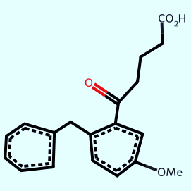 COc1ccc(Cc2ccccc2)c(C(=O)CCCC(=O)O)c1